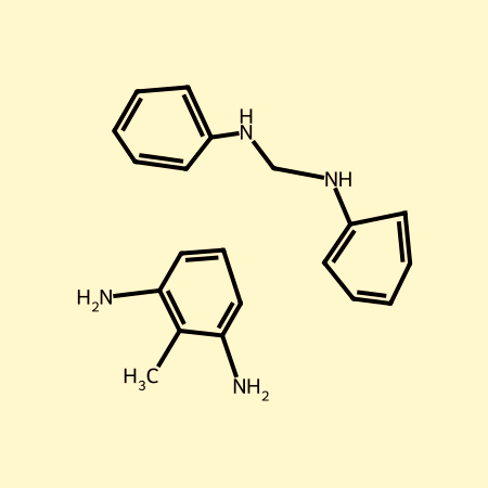 Cc1c(N)cccc1N.c1ccc(NCNc2ccccc2)cc1